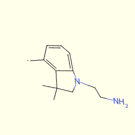 [CH2]c1cccc2c1C(C)(C)CN2CCN